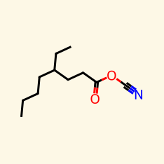 CCCCC(CC)CCC(=O)OC#N